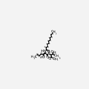 CCCCCCCCCCCC(=O)N/C(C(=O)NC(C(=O)O)C(C)O)=C(/O)CCCC